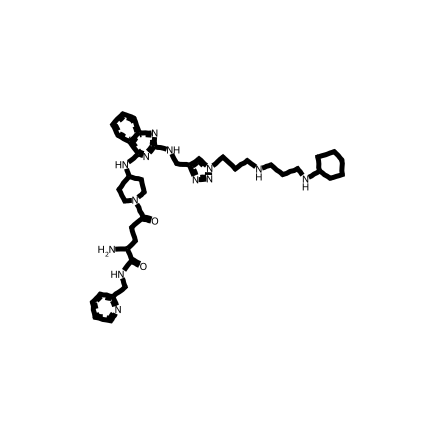 NC(CCC(=O)N1CCC(Nc2nc(NCc3cn(CCCNCCCNC4CCCCC4)nn3)nc3ccccc23)CC1)C(=O)NCc1ccccn1